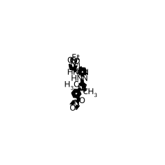 CCS(=O)(=O)N1CCC(Nc2c(Cl)cnc3nc(-c4cc(C)n(-c5cccc(C(=O)N6CCOCC6)c5)c4C)[nH]c23)C1